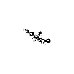 Cc1nc2c(c(OCC(F)(F)F)c(C(=O)NC3CCN(C(=O)CO)CC3)n2C)c(=O)n1CCc1ccccc1